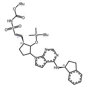 CC(C)(C)OC(=O)NS(=O)(=O)/C=C/[C@@H]1CCC(n2ccc3c(N[C@H]4CCc5ccccc54)ncnc32)C1O[Si](C)(C)C(C)(C)C